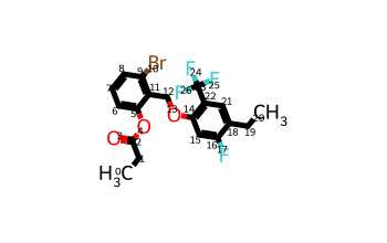 CCC(=O)Oc1cccc(Br)c1COc1cc(F)c(CC)cc1C(F)(F)F